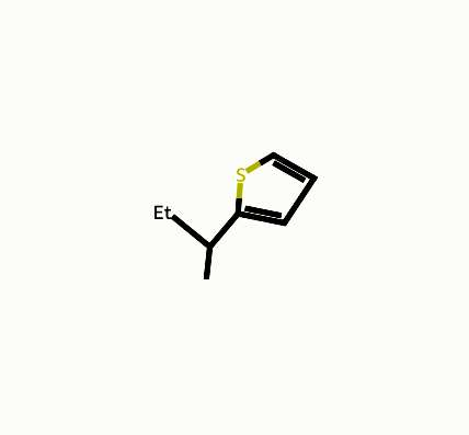 CCC(C)c1cccs1